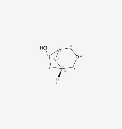 C1C[C@H]2COCC1N2.Cl